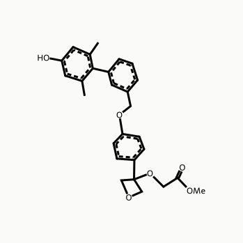 COC(=O)COC1(c2ccc(OCc3cccc(-c4c(C)cc(O)cc4C)c3)cc2)COC1